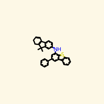 CC1(C)C2=C(C=CCC2)c2ccc(Nc3cc(-c4ccccc4)cc4c3sc3ccccc34)cc21